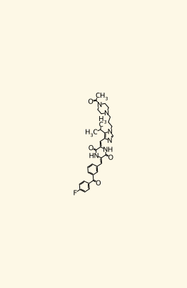 CC(=O)N1CCN(CCCn2cnc(/C=c3\[nH]c(=O)/c(=C/c4cccc(C(=O)c5ccc(F)cc5)c4)[nH]c3=O)c2C(C)C)CC1